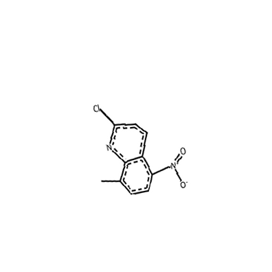 Cc1ccc([N+](=O)[O-])c2ccc(Cl)nc12